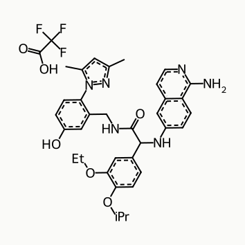 CCOc1cc(C(Nc2ccc3c(N)nccc3c2)C(=O)NCc2cc(O)ccc2-n2nc(C)cc2C)ccc1OC(C)C.O=C(O)C(F)(F)F